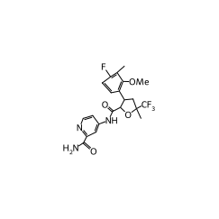 COc1c(C2CC(C)(C(F)(F)F)OC2C(=O)Nc2ccnc(C(N)=O)c2)ccc(F)c1C